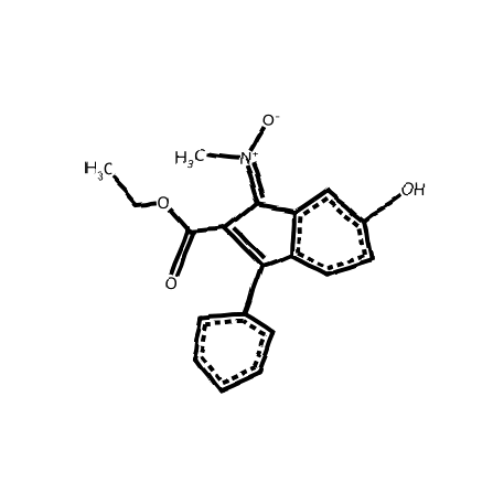 CCOC(=O)C1=C(c2ccccc2)c2ccc(O)cc2/C1=[N+](/C)[O-]